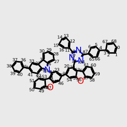 c1ccc(-c2ccc(-c3nc(-c4ccccc4)nc(-c4cc(-c5cc(-n6c7ccccc7c7cc(-c8ccccc8)ccc76)c6c(c5)oc5ccccc56)cc5oc6ccccc6c45)n3)cc2)cc1